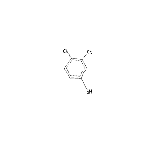 N#Cc1cc(S)ccc1Cl